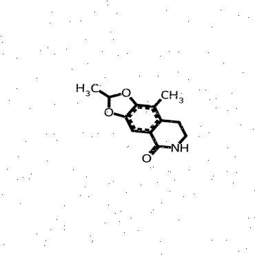 Cc1c2c(cc3c1OC(C)O3)C(=O)NCC2